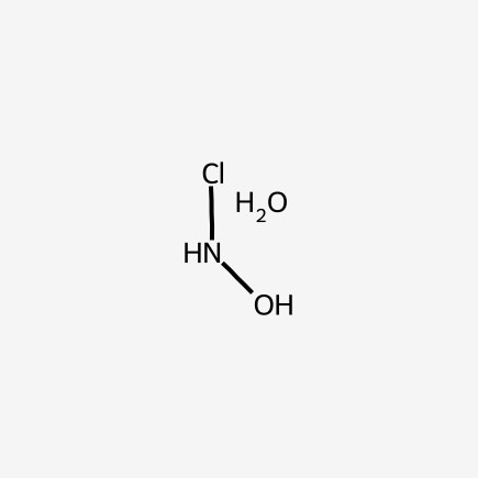 O.ONCl